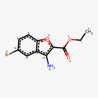 CCOC(=O)c1oc2ccc(Br)cc2c1N